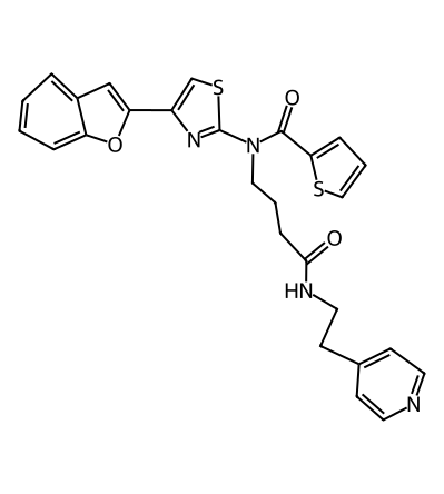 O=C(CCCN(C(=O)c1cccs1)c1nc(-c2cc3ccccc3o2)cs1)NCCc1ccncc1